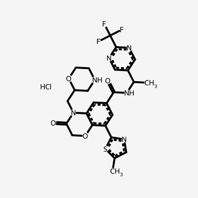 Cc1cnc(-c2cc(C(=O)NC(C)c3cnc(C(F)(F)F)nc3)cc3c2OCC(=O)N3CC2CNCCO2)s1.Cl